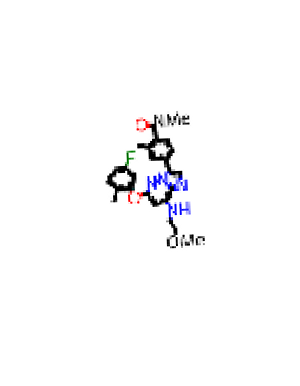 CNC(=O)c1ccc(-c2cnc3c(NCCOC)cc(Oc4cc(F)ccc4C)nn23)cc1C